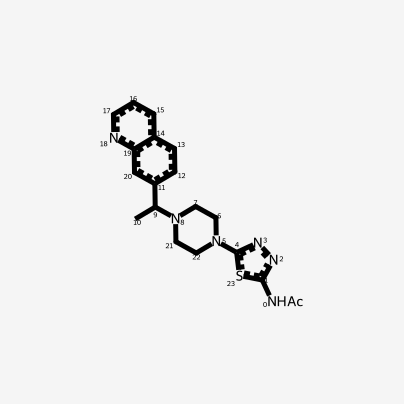 CC(=O)Nc1nnc(N2CCN(C(C)c3ccc4cccnc4c3)CC2)s1